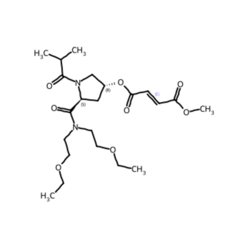 CCOCCN(CCOCC)C(=O)[C@@H]1C[C@@H](OC(=O)/C=C/C(=O)OC)CN1C(=O)C(C)C